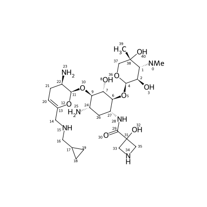 CN[C@@H]1[C@@H](O)[C@@H](O[C@@H]2[C@@H](O)[C@H](O[C@H]3OC(CNCC4CC4)=CC[C@H]3N)[C@@H](N)C[C@H]2NC(=O)C2(O)CNC2)OC[C@]1(C)O